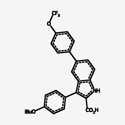 CC(C)COc1ccc(-c2c(C(=O)O)[nH]c3ccc(-c4ccc(OC(F)(F)F)cc4)cc23)cc1